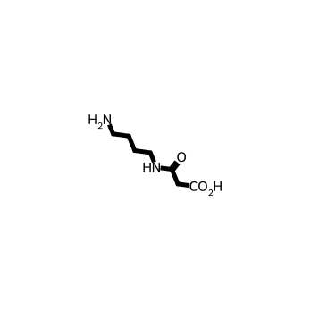 NCCCCNC(=O)CC(=O)O